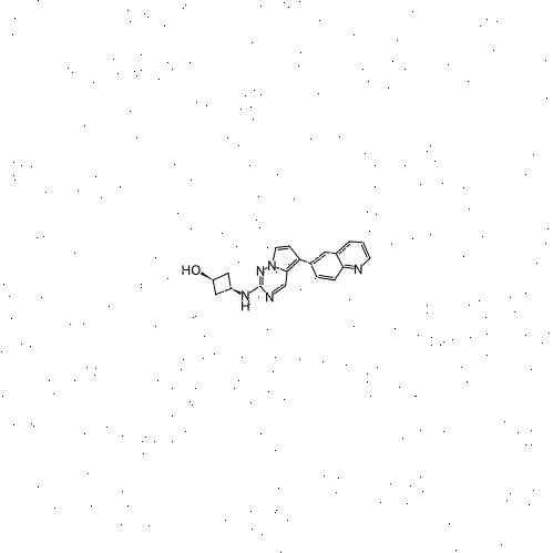 O[C@H]1C[C@@H](Nc2ncc3c(-c4ccc5ncccc5c4)ccn3n2)C1